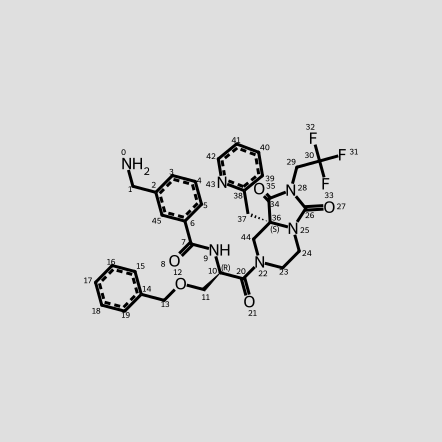 NCc1cccc(C(=O)N[C@H](COCc2ccccc2)C(=O)N2CCN3C(=O)N(CC(F)(F)F)C(=O)[C@]3(Cc3ccccn3)C2)c1